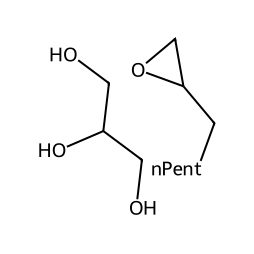 CCCCCCC1CO1.OCC(O)CO